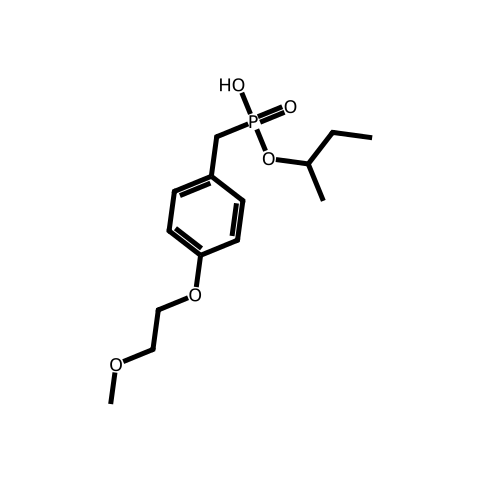 CCC(C)OP(=O)(O)Cc1ccc(OCCOC)cc1